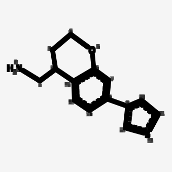 NCC1CCOc2cc(-c3ccsc3)ccc21